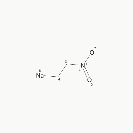 O=[N+]([O-])C[CH2][Na]